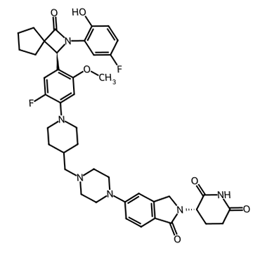 COc1cc(N2CCC(CN3CCN(c4ccc5c(c4)CN([C@H]4CCC(=O)NC4=O)C5=O)CC3)CC2)c(F)cc1[C@@H]1N(c2cc(F)ccc2O)C(=O)C12CCCC2